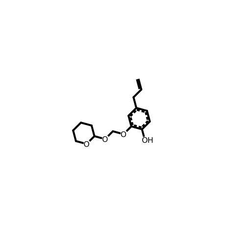 C=CCc1ccc(O)c(OCOC2CCCCO2)c1